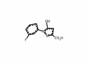 O=C(O)c1cc(O)n(-c2cccc(F)c2)n1